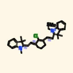 CSC[N+]1=C(/C=C/C2=C(Cl)C(=C/C=C3/N(C)c4ccccc4C3(C)C)/CCC2)C(C)(C)c2ccccc21